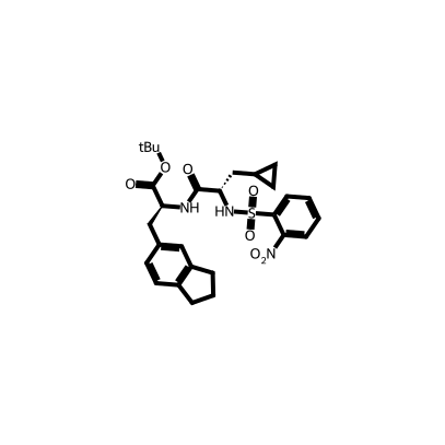 CC(C)(C)OC(=O)[C@H](Cc1ccc2c(c1)CCC2)NC(=O)[C@H](CC1CC1)NS(=O)(=O)c1ccccc1[N+](=O)[O-]